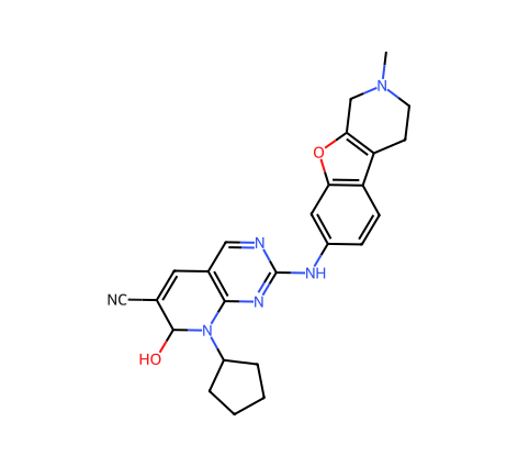 CN1CCc2c(oc3cc(Nc4ncc5c(n4)N(C4CCCC4)C(O)C(C#N)=C5)ccc23)C1